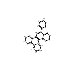 c1ccc2c(c1)c(-c1ccncc1)cc1c3ccccc3c3ncccc3c21